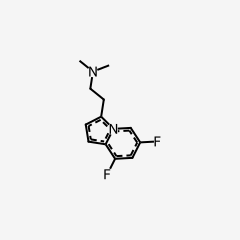 CN(C)CCc1ccc2c(F)cc(F)cn12